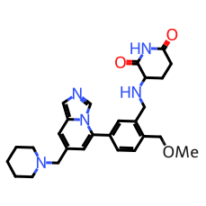 COCc1ccc(-c2cc(CN3CCCCC3)cc3cncn23)cc1CNC1CCC(=O)NC1=O